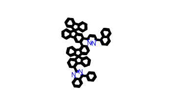 c1ccc(-c2nc(-c3cccc4c3-c3ccccc3C43c4ccccc4-c4c(-c5cc6c(cc5-c5ccc(-c7cccc8ccccc78)nn5)C5(c7ccccc7-c7ccccc75)c5ccccc5-6)cccc43)nc3ccccc23)cc1